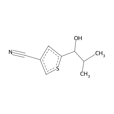 CC(C)C(O)c1cc(C#N)cs1